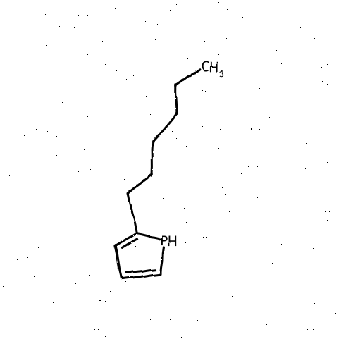 CCCCCCc1ccc[pH]1